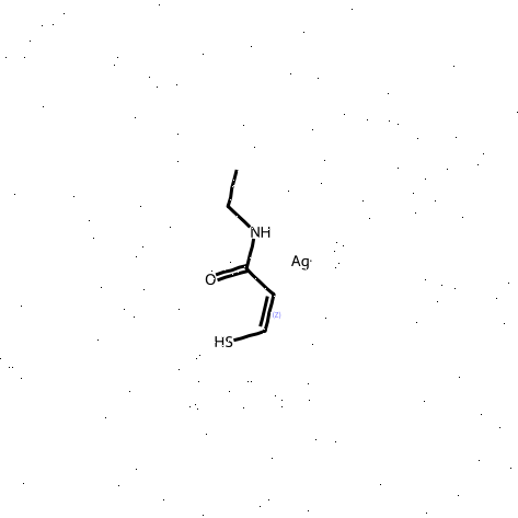 CCNC(=O)/C=C\S.[Ag]